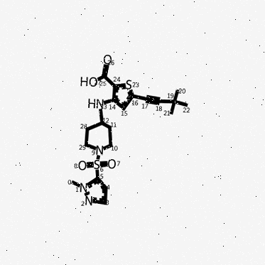 Cn1nccc1S(=O)(=O)N1CCC(Nc2cc(C#CC(C)(C)C)sc2C(=O)O)CC1